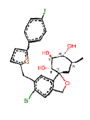 C[C@H]1C[C@]2(OCc3cc(Br)c(Cc4ccc(-c5ccc(F)cc5)s4)cc32)[C@H](O)[C@@H](O)[C@@H]1O